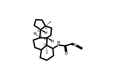 C=C=CC(=O)NC1CCCC2CC[C@H]3[C@@H]4CCC[C@@]4(C)CC[C@@H]3[C@]21C